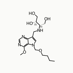 CCCCOCn1cc(CN[C@@H](CO)[C@H](O)CO)c2ncnc(OC)c21